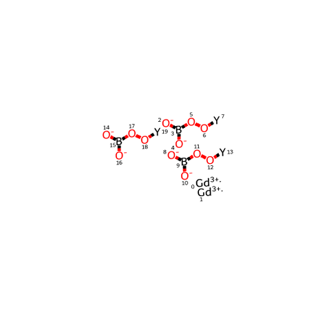 [Gd+3].[Gd+3].[O-]B([O-])O[O][Y].[O-]B([O-])O[O][Y].[O-]B([O-])O[O][Y]